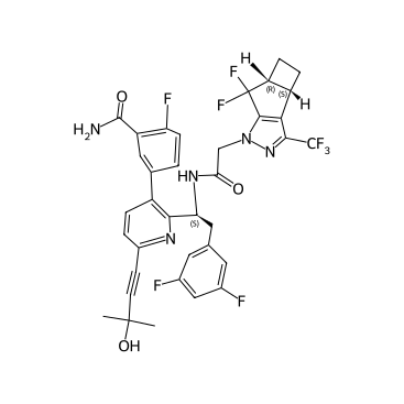 CC(C)(O)C#Cc1ccc(-c2ccc(F)c(C(N)=O)c2)c([C@H](Cc2cc(F)cc(F)c2)NC(=O)Cn2nc(C(F)(F)F)c3c2C(F)(F)[C@@H]2CC[C@H]32)n1